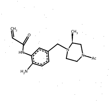 C=CC(=O)Nc1cc(CN2CCN(C(C)=O)C[C@@H]2C)ccc1N